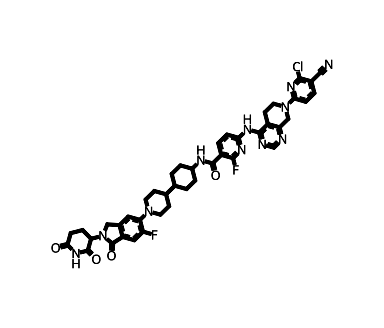 N#Cc1ccc(N2CCc3c(ncnc3Nc3ccc(C(=O)NC4CCC(C5CCN(c6cc7c(cc6F)C(=O)N(C6CCC(=O)NC6=O)C7)CC5)CC4)c(F)n3)C2)nc1Cl